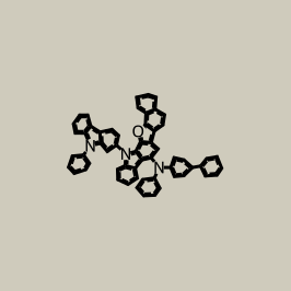 c1ccc(-c2ccc(N(c3ccccc3)c3cc4c5ccc6ccccc6c5oc4c4c3c3ccccc3n4-c3ccc4c5ccccc5n(-c5ccccc5)c4c3)cc2)cc1